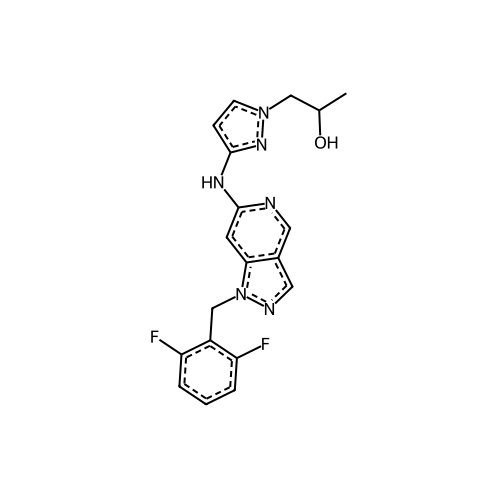 CC(O)Cn1ccc(Nc2cc3c(cn2)cnn3Cc2c(F)cccc2F)n1